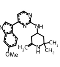 C=C1CC(Nc2nccc(-c3c[nH]c4cc(OC)ccc34)n2)CC(C)(C)N1